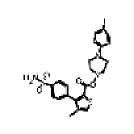 Cc1csc(C(=O)ON2CCN(c3ccc(F)cc3)CC2)c1-c1ccc(S(N)(=O)=O)cc1